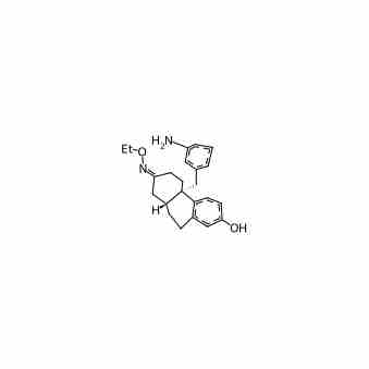 CCON=C1CC[C@@]2(Cc3cccc(N)c3)c3ccc(O)cc3CC[C@@H]2C1